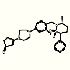 C[C@H]1CCC(c2ccccc2)S(=O)(=O)N1Cc1ccc(N2CCN(C3=CC(=O)CC3)CC2)cc1F